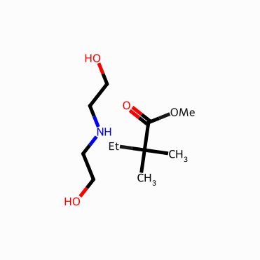 CCC(C)(C)C(=O)OC.OCCNCCO